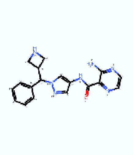 Nc1nccnc1C(=O)Nc1cnn(C(c2ccccc2)C2CNC2)c1